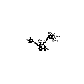 COC(=O)c1cc(CCOCCCn2c(C(=O)OC(C)(C)C)c(CCCOc3cc(C)c(Cl)c(C)c3)c3cccc(-c4c(C)nn(C)c4C)c32)cc([N+](=O)[O-])c1C(=O)OC